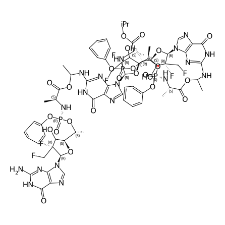 CC(C)OC(=O)[C@H](C)NP(=O)(Oc1ccccc1)O[C@H](C)[C@H]1O[C@@H](n2cnc3c(=O)[nH]c(NC(C)OC(=O)[C@H](C)N[P@@](=O)(Oc4ccccc4)O[C@H](C)[C@H]4O[C@@H](n5cnc6c(=O)[nH]c(NC(C)OC(=O)[C@H](C)N[P@](=O)(Oc7ccccc7)O[C@H](C)[C@H]7O[C@@H](n8cnc9c(=O)[nH]c(N)nc98)[C@@](F)(CF)C7O)nc65)[C@@](F)(CF)C4O)nc32)[C@@](F)(CF)C1O